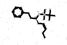 CC/C=C\C[C@@H](CCc1ccccc1)O[Si](C)(C)C(C)(C)C